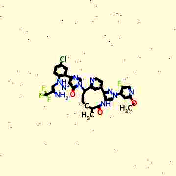 COc1cc(-n2cc3c(n2)-c2ccnc(c2)C(n2cnc(-c4cc(Cl)ccc4N(N)/C=C(\N)C(F)(F)F)cc2=O)CCCC(C)C(=O)N3)c(F)cn1